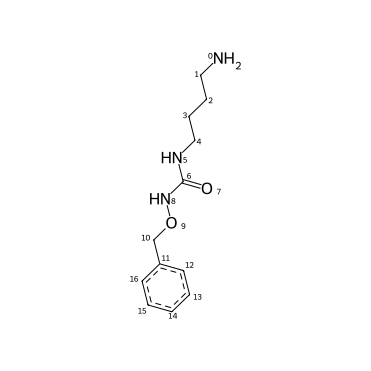 NCCCCNC(=O)NOCc1ccccc1